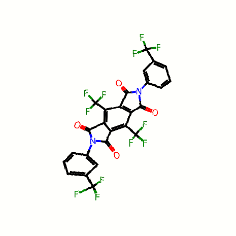 O=c1c2c(C(F)(F)F)c3c(=O)n(-c4cccc(C(F)(F)F)c4)c(=O)c3c(C(F)(F)F)c2c(=O)n1-c1cccc(C(F)(F)F)c1